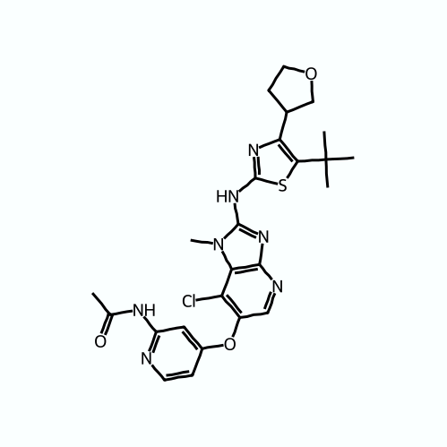 CC(=O)Nc1cc(Oc2cnc3nc(Nc4nc(C5CCOC5)c(C(C)(C)C)s4)n(C)c3c2Cl)ccn1